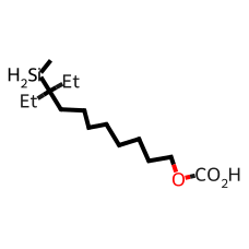 CCC(CC)(CCCCCCCCOC(=O)O)[SiH2]C